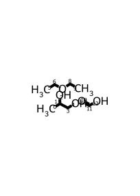 CC(O)CO.CCOCC.O=CO